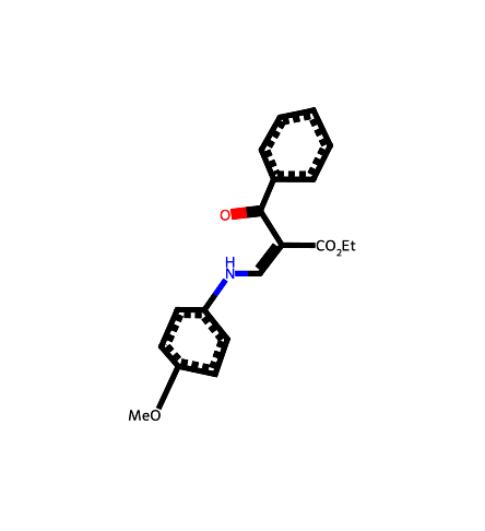 CCOC(=O)C(=CNc1ccc(OC)cc1)C(=O)c1ccccc1